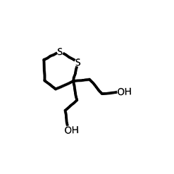 OCCC1(CCO)CCCSS1